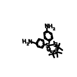 C[Si]1(C)O[Si](c2ccc(N)cc2)(c2ccc(N)cc2)[Si](C)(C)[Si](C)(C)[Si]1(C)C